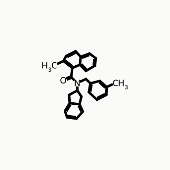 Cc1cccc(CN(C(=O)c2c(C)ccc3ccccc23)C2Cc3ccccc3C2)c1